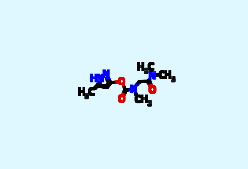 Cc1cc(OC(=O)N(C)CC(=O)N(C)C)n[nH]1